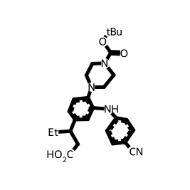 CCC(CC(=O)O)c1ccc(N2CCN(C(=O)OC(C)(C)C)CC2)c(Nc2ccc(C#N)cc2)c1